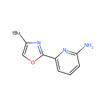 CC(C)(C)c1coc(-c2cccc(N)n2)n1